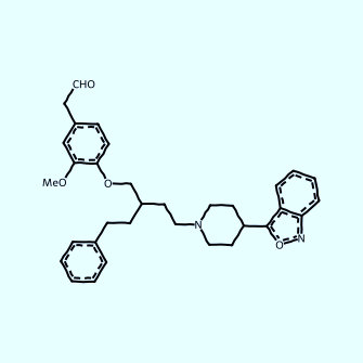 COc1cc(CC=O)ccc1OCC(CCc1ccccc1)CCN1CCC(c2onc3ccccc23)CC1